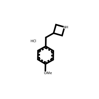 COc1ccc(CC2CNC2)cc1.Cl